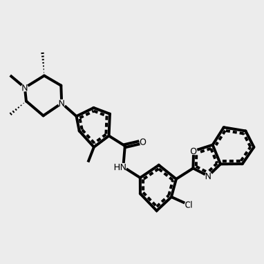 Cc1cc(N2C[C@@H](C)N(C)[C@@H](C)C2)ccc1C(=O)Nc1ccc(Cl)c(-c2nc3ccccc3o2)c1